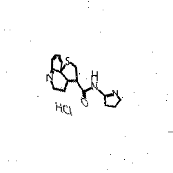 Cl.O=C(NC1=NCCC1)C1CSC23C=CC=CC2=NCCC13